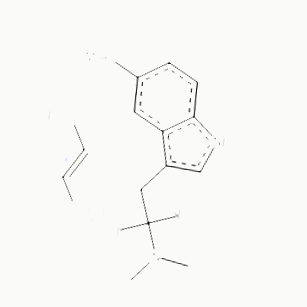 O=C(O)/C=C/C(=O)O.[2H]C([2H])(Cc1c[nH]c2ccc(OC)cc12)N(C)C